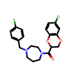 O=C(C1COc2cc(Cl)ccc2O1)N1CCCN(Cc2ccc(F)cc2)CC1